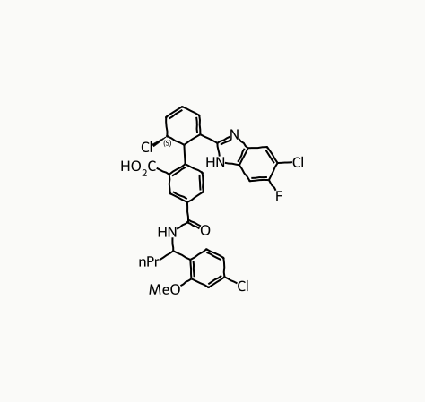 CCCC(NC(=O)c1ccc(C2C(c3nc4cc(Cl)c(F)cc4[nH]3)=CC=C[C@@H]2Cl)c(C(=O)O)c1)c1ccc(Cl)cc1OC